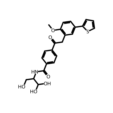 COc1ccc(-c2cccs2)cc1CC(=O)c1ccc(C(=O)NC(CO)C(O)O)cc1